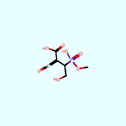 COP(=O)(O)C(CO)C(=C=O)C(=O)O